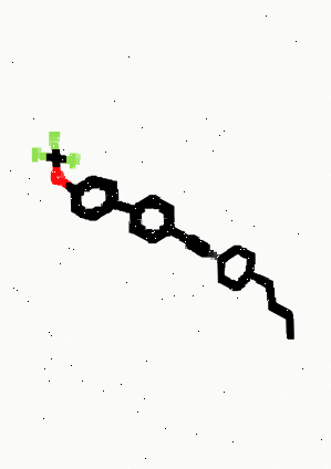 CCCC[C@H]1CC[C@H](C#Cc2ccc(-c3ccc(OC(F)(F)F)cc3)cc2)CC1